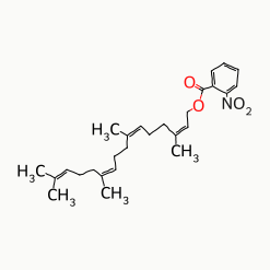 CC(C)=CCCC(C)=CCCC(C)=CCCC(C)=CCOC(=O)c1ccccc1[N+](=O)[O-]